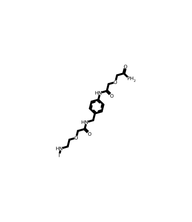 O=C(P)COCC(=O)Nc1ccc(CNC(=O)COCCNI)cc1